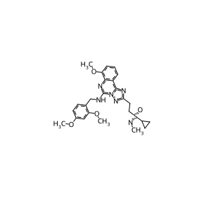 CN=S(=O)(CCc1nc2c3cccc(OC)c3nc(NCc3ccc(OC)cc3OC)n2n1)C1CC1